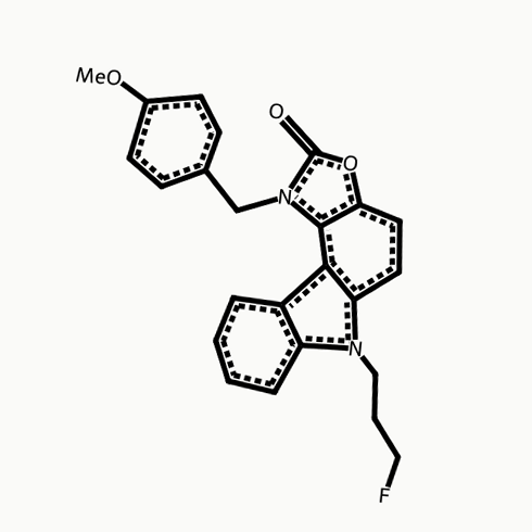 COc1ccc(Cn2c(=O)oc3ccc4c(c5ccccc5n4CCCF)c32)cc1